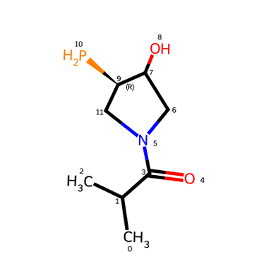 CC(C)C(=O)N1CC(O)[C@H](P)C1